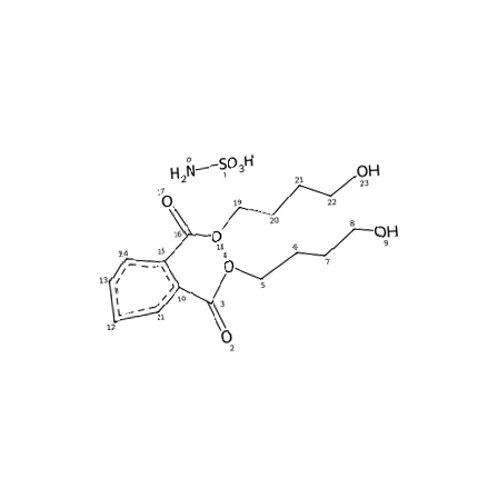 NS(=O)(=O)O.O=C(OCCCCO)c1ccccc1C(=O)OCCCCO